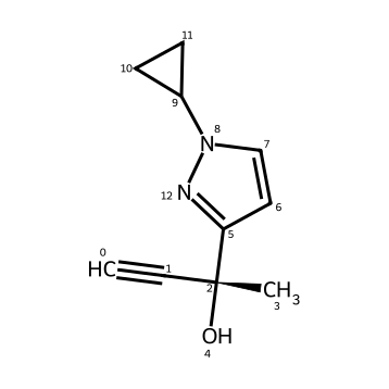 C#C[C@@](C)(O)c1ccn(C2CC2)n1